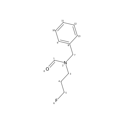 O=[C]N(CCCF)Cc1ccccc1